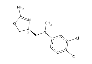 CN(C[C@H]1COC(N)=N1)c1ccc(Cl)c(Cl)c1